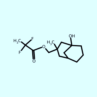 CC1(COC(=O)C(C)(F)F)CC2CCCC(O)(C2)C1